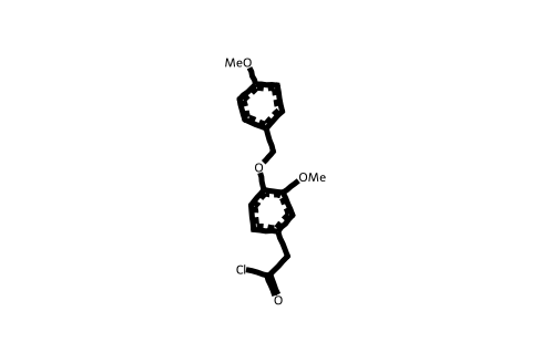 COc1ccc(COc2ccc(CC(=O)Cl)cc2OC)cc1